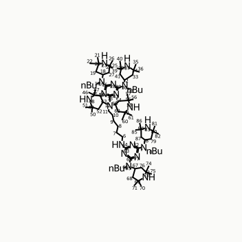 CCCCN(c1nc(NCCCCCC[N+](c2nc(N(CCCC)C3CC(C)(C)NC(C)(C)C3)nc(N(CCCC)C3CC(C)(C)NC(C)(C)C3)n2)(C2CC(C)(C)NC(C)(C)C2)C2CC(C)(C)NC(C)(C)C2)nc(N(CCCC)C2CC(C)(C)NC(C)(C)C2)n1)C1CC(C)(C)NC(C)(C)C1